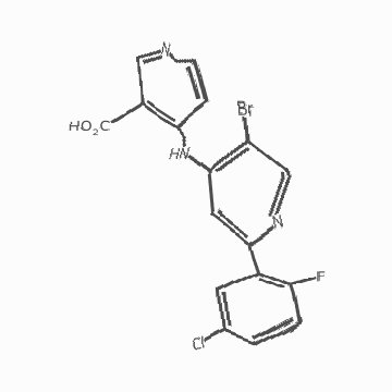 O=C(O)c1cnccc1Nc1cc(-c2cc(Cl)ccc2F)ncc1Br